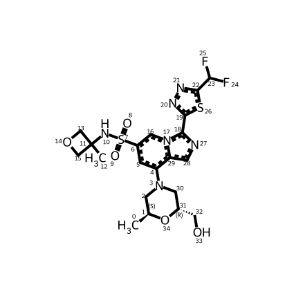 C[C@H]1CN(c2cc(S(=O)(=O)NC3(C)COC3)cn3c(-c4nnc(C(F)F)s4)ncc23)C[C@H](CO)O1